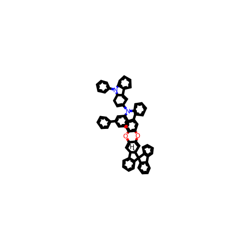 C1=C2Oc3ccc(-c4ccccc4N(C4=CCC5C(=C4)c4ccccc4N5c4ccccc4)c4cccc(-c5ccccc5)c4)cc3OC2=C[C@@H]2C1c1ccccc1C21c2ccccc2-c2ccccc21